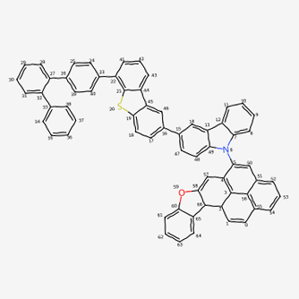 C1=CC2c3c(c(-n4c5ccccc5c5cc(-c6ccc7sc8c(-c9ccc(-c%10ccccc%10-c%10ccccc%10)cc9)cccc8c7c6)ccc54)cc4cccc1c34)C=C1Oc3ccccc3C12